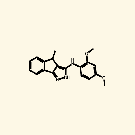 COc1ccc(Nc2[nH]nc3c2C(C)c2ccccc2-3)c(OC)c1